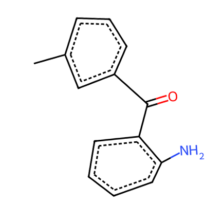 Cc1cccc(C(=O)c2ccccc2N)c1